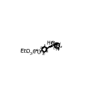 CCOC(=O)COc1ccc(C#CC2(O)CN3CCC2CC3)cc1